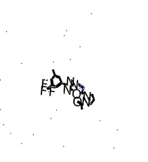 CC(=O)N1CCCN1C(=O)/C=C\n1cnc(-c2cc(C)cc(C(F)(F)F)c2)n1